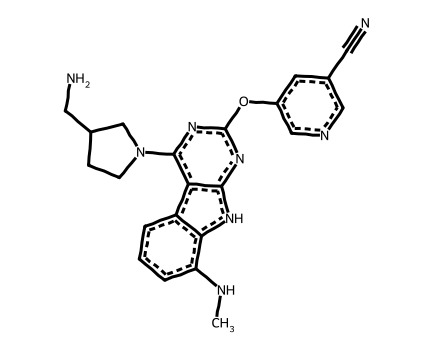 CNc1cccc2c1[nH]c1nc(Oc3cncc(C#N)c3)nc(N3CCC(CN)C3)c12